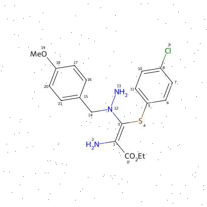 CCOC(=O)/C(N)=C(\Sc1ccc(Cl)cc1)N(N)Cc1ccc(OC)cc1